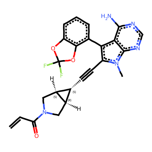 C=CC(=O)N1C[C@@H]2[C@@H](C#Cc3c(-c4cccc5c4OC(F)(F)O5)c4c(N)ncnc4n3C)[C@@H]2C1